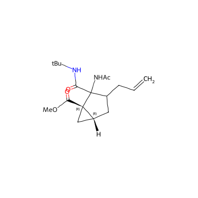 C=CCC1C[C@@H]2C[C@]2(C(=O)OC)C1(NC(C)=O)C(=O)NC(C)(C)C